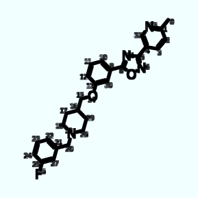 Cc1ccc(-c2noc(-c3cccc(OCC4CCN(Cc5cccc(F)c5)CC4)c3)n2)cn1